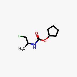 CC(CF)NC(=O)OC1CCCC1